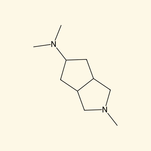 CN1CC2CC(N(C)C)CC2C1